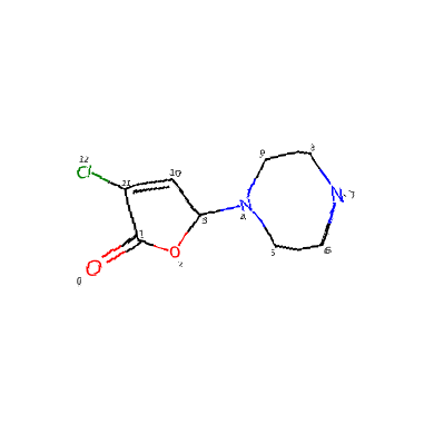 O=C1OC(N2CC[N]CC2)C=C1Cl